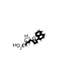 CC(/C=C/c1ccc(-c2cccc3ccccc23)o1)=C\C(=O)O